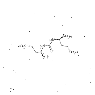 O=C(O)CC[C@@H](NC(=O)N[C@H](CCC(=O)O)C(=O)O)C(=O)O